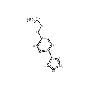 O=C(O)CCc1ccc(-c2cncs2)cc1